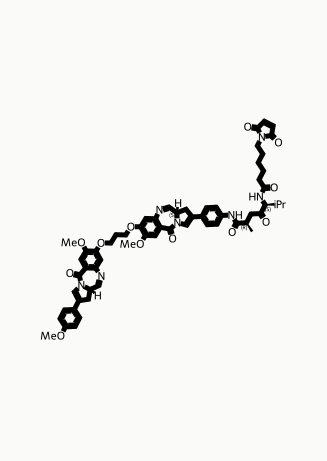 COc1ccc(C2=CN3C(=O)c4cc(OC)c(OCCCOc5cc6c(cc5OC)C(=O)N5C=C(c7ccc(NC(=O)[C@H](C)CC(=O)[C@@H](NC(=O)CCCCCN8C(=O)C=CC8=O)C(C)C)cc7)C[C@H]5C=N6)cc4N=C[C@@H]3C2)cc1